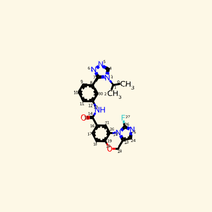 CC(C)n1cnnc1-c1cccc(NC(=O)c2ccc3c(c2)-n2c(cnc2F)CO3)c1